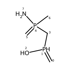 C=[PH](O)CP(=C)(C)N